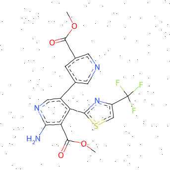 COC(=O)c1cncc(-c2cnc(N)c(C(=O)OC)c2-c2nc(C(F)(F)F)cs2)c1